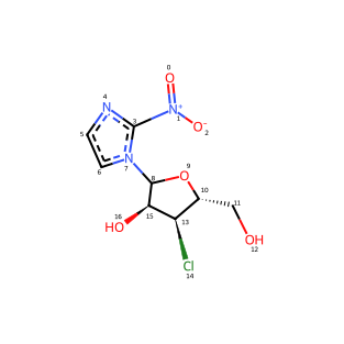 O=[N+]([O-])c1nccn1C1O[C@H](CO)[C@@H](Cl)[C@H]1O